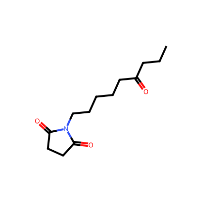 CCCC(=O)CCCCCN1C(=O)CCC1=O